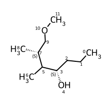 CCC[C@H](O)C(C)[C@H](C)COC